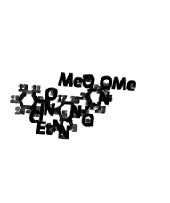 CCn1ncc2c1C(NC(=O)c1ccccc1Cl)CCN2C(=O)c1cnc(OC)c(OC)c1